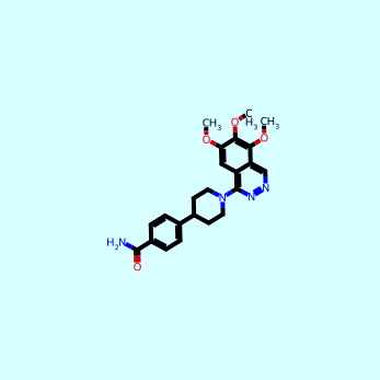 COc1cc2c(N3CCC(c4ccc(C(N)=O)cc4)CC3)nncc2c(OC)c1OC